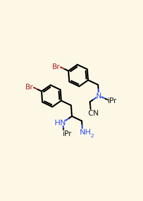 CC(C)N(CC#N)Cc1ccc(Br)cc1.CC(C)NC(CN)Cc1ccc(Br)cc1